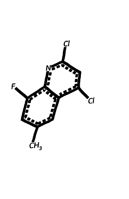 Cc1cc(F)c2nc(Cl)cc(Cl)c2c1